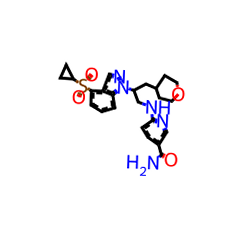 NC(=O)c1ccc(NCC(CC2CCOCC2)n2ncc3c(S(=O)(=O)C4CC4)cccc32)nc1